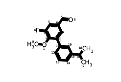 COc1c(F)cc(C=O)cc1-c1cccc(C(C)C)c1